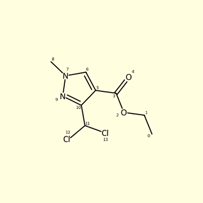 CCOC(=O)c1cn(C)nc1C(Cl)Cl